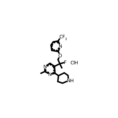 Cc1ncc(C(C)(F)COc2cccc(C(F)(F)F)n2)c(C2CCNCC2)n1.Cl